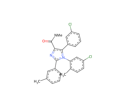 CNC(=O)c1nc(-c2cccc(C)c2)n(-c2cc(Cl)ccc2C)c1-c1cccc(Cl)c1